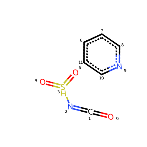 O=C=N[SH](=O)=O.c1ccncc1